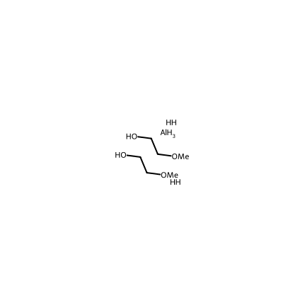 COCCO.COCCO.[AlH3].[HH].[HH]